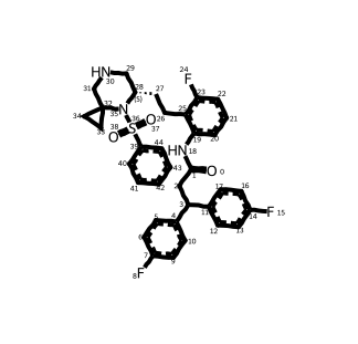 O=C(CC(c1ccc(F)cc1)c1ccc(F)cc1)Nc1cccc(F)c1CC[C@H]1CNCC2(CC2)N1S(=O)(=O)c1ccccc1